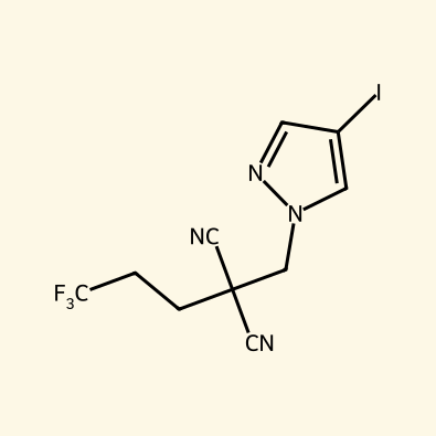 N#CC(C#N)(CCC(F)(F)F)Cn1cc(I)cn1